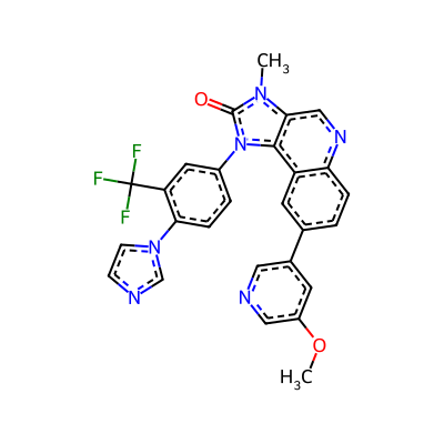 COc1cncc(-c2ccc3ncc4c(c3c2)n(-c2ccc(-n3ccnc3)c(C(F)(F)F)c2)c(=O)n4C)c1